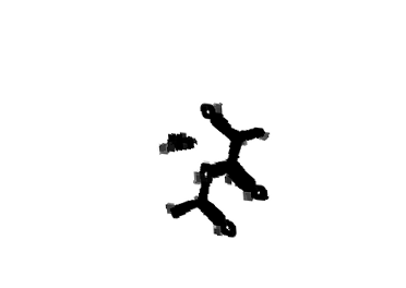 CC(=O)OC(=O)C(C)=O.[Nb]